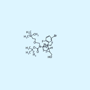 CC(C)(C)OC(=O)N(COCC[Si](C)(C)C)C1=N[C@](CF)(c2cc(Br)ccc2F)[C@@H]2C(CO)[C@@]2(CO)S1